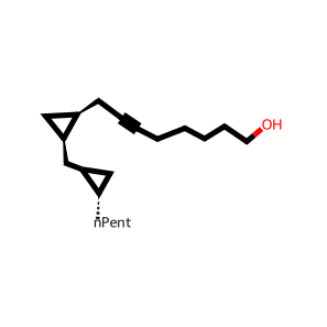 CCCCC[C@H]1CC1C[C@H]1C[C@H]1CC#CCCCCCO